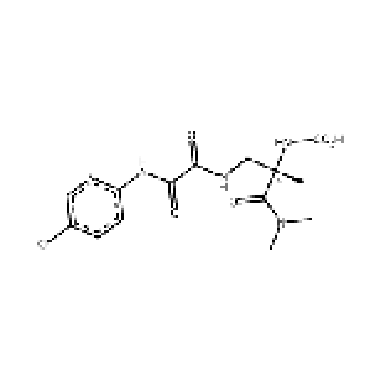 CN(C)C(=O)[C@](C)(CNC(=O)C(=O)Nc1ccc(Cl)cn1)NC(=O)O